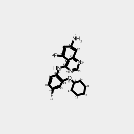 Nc1cc(F)c2c(Nc3ccc(F)cc3OC3CCCCC3)ncnc2c1